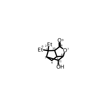 CCC1(CC)C2CC3C(OC(=O)C31)C2O